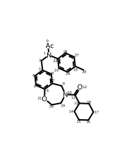 CC(=O)N(Cc1ccc2c(c1)CN(C(=O)C1CCCCC1)CCO2)c1ccc(C)cc1